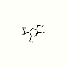 CCN(CN(CC)C(=O)O)C(=O)O